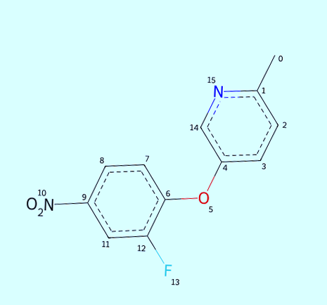 Cc1ccc(Oc2ccc([N+](=O)[O-])cc2F)cn1